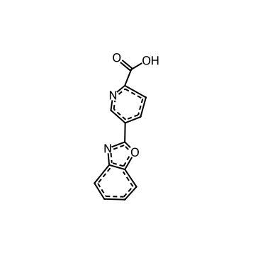 O=C(O)c1ccc(-c2nc3ccccc3o2)cn1